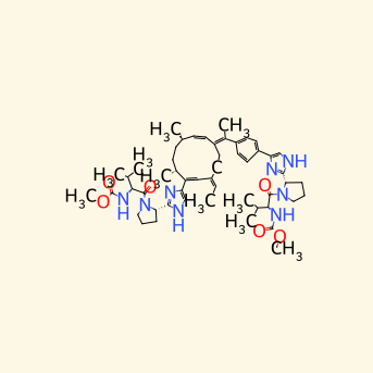 C/C=C1\C=C(\c2c[nH]c([C@@H]3CCCN3C(=O)[C@@H](NC(=O)OC)C(C)C)n2)[C@H](C)CC[C@@H](C)/C=C\C(=C(/C)c2ccc(-c3c[nH]c([C@@H]4CCCN4C(=O)[C@@H](NC(=O)OC)C(C)C)n3)cc2)CC1